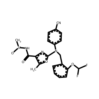 Cc1oc(N(Cc2ccccc2OC(F)F)c2ccc(C#N)cc2)nc1C(=O)N[S+](C)[O-]